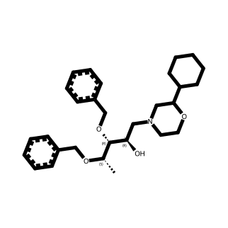 C[C@H](OCc1ccccc1)[C@H](OCc1ccccc1)[C@H](O)CN1CCOC(C2CCCCC2)C1